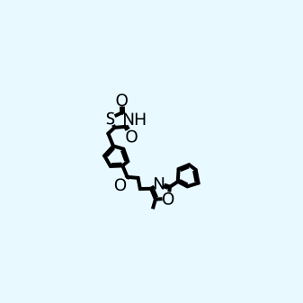 Cc1oc(-c2ccccc2)nc1CCC(=O)c1ccc(CC2SC(=O)NC2=O)cc1